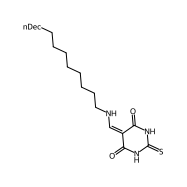 CCCCCCCCCCCCCCCCCCNC=C1C(=O)NC(=S)NC1=O